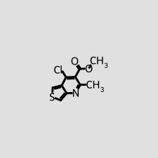 COC(=O)c1c(C)nc2cscc2c1Cl